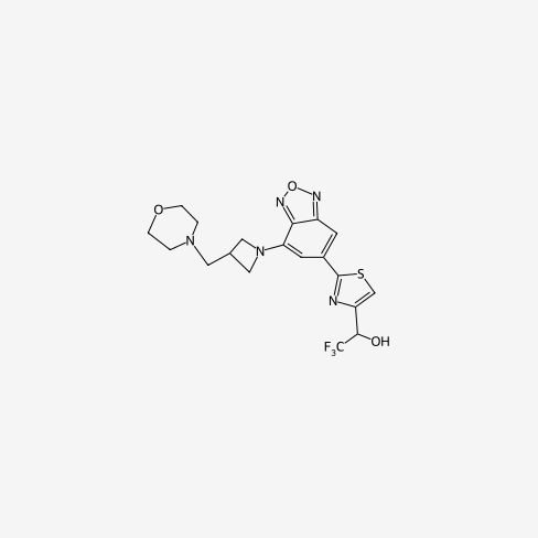 OC(c1csc(-c2cc(N3CC(CN4CCOCC4)C3)c3nonc3c2)n1)C(F)(F)F